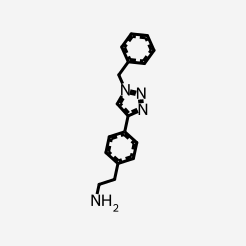 NCCc1ccc(-c2cn(Cc3ccccc3)nn2)cc1